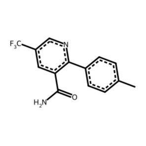 Cc1ccc(-c2ncc(C(F)(F)F)cc2C(N)=O)cc1